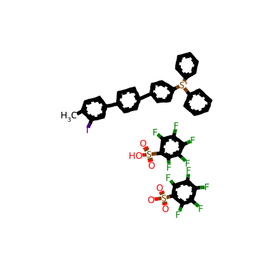 Cc1ccc(-c2ccc(-c3ccc([S+](c4ccccc4)c4ccccc4)cc3)cc2)cc1I.O=S(=O)(O)c1c(F)c(F)c(F)c(F)c1F.O=S(=O)([O-])c1c(F)c(F)c(F)c(F)c1F